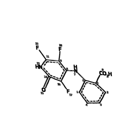 O=C(O)c1ccccc1Nc1c(F)c(F)[nH]c(=O)c1F